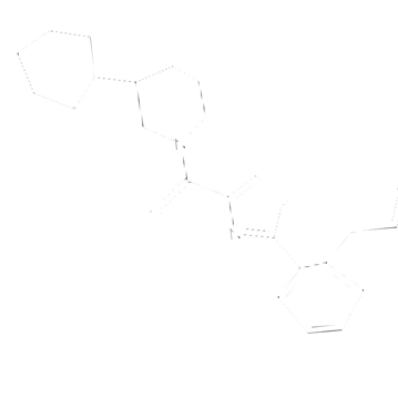 O=CCc1ccccc1-c1nc(C(=O)N2CCCC(C3CCCCC3)C2)cs1